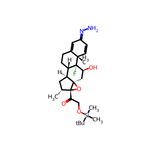 C[C@@H]1C[C@H]2[C@@H]3CCC4=C/C(=N/N)C=C[C@]4(C)[C@@]3(F)[C@@H](O)C[C@@]23O[C@]13C(=O)CO[Si](C)(C)C(C)(C)C